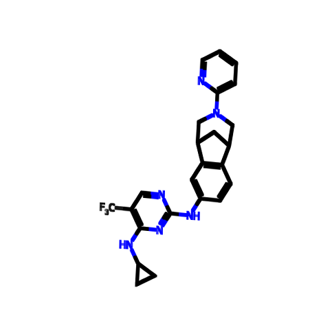 FC(F)(F)c1cnc(Nc2ccc3c(c2)C2CC3CN(c3ccccn3)C2)nc1NC1CC1